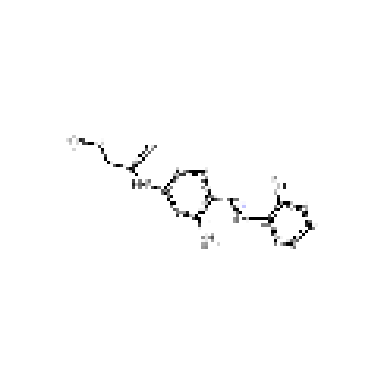 NCCC(=O)Nc1ccc(/N=N/c2ccccc2O)c(N)n1